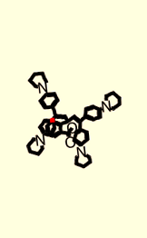 O=C1OC(C=C(c2ccc(N3CCCCC3)cc2)c2ccc(N3CCCCC3)cc2)(C=C(c2ccc(N3CCCCC3)cc2)c2ccc(N3CCCCC3)cc2)c2ccccc21